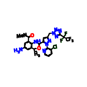 CNC(=O)c1cc(N)cc(C)c1NC(=O)c1cc(Cn2nnc(C(F)(F)C(F)(F)F)n2)nn1-c1ncccc1Cl